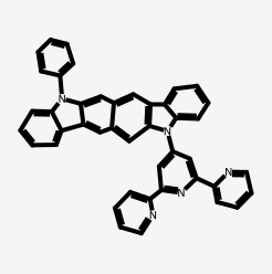 c1ccc(-n2c3ccccc3c3cc4cc5c(cc4cc32)c2ccccc2n5-c2cc(-c3ccccn3)nc(-c3ccccn3)c2)cc1